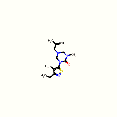 C=C(C)CN1CN(C)C(=O)N(c2snc(CC)c2C)C1